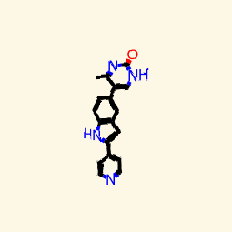 Cc1nc(=O)[nH]cc1-c1ccc2[nH]c(-c3ccncc3)cc2c1